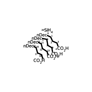 CCCCCCCCCCCCCC(=O)O.CCCCCCCCCCCCCC(=O)O.CCCCCCCCCCCCCC(=O)O.CCCCCCCCCCCCCC(=O)O.[SiH4]